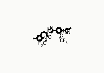 Cc1cn(-c2ccc(-c3cn(C4CCc5cc(F)ccc5N(CC(F)(F)F)C4=O)nn3)cc2OCC(F)(F)F)cn1